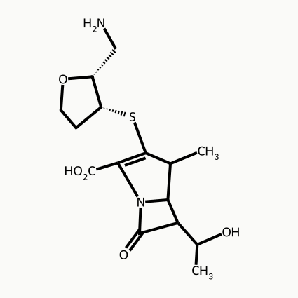 CC(O)C1C(=O)N2C(C(=O)O)=C(S[C@@H]3CCO[C@@H]3CN)C(C)C12